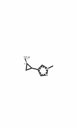 Cn1cc(C2C[C@H]2C(=O)O)cn1